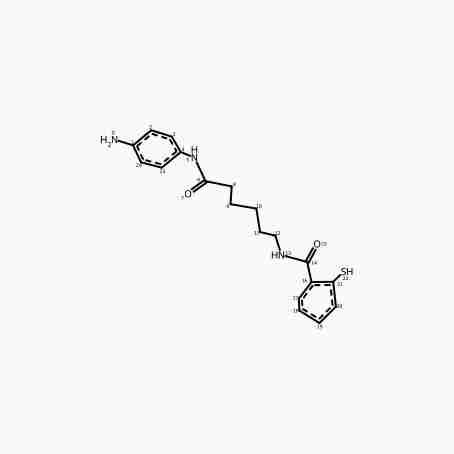 Nc1ccc(NC(=O)CCCCCNC(=O)c2ccccc2S)cc1